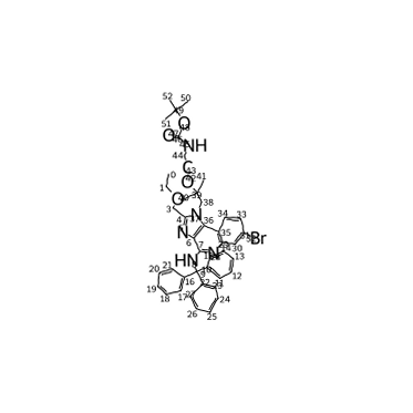 CCOCc1nc2c(NC(c3ccccc3)(c3ccccc3)c3ccccc3)nc3cc(Br)ccc3c2n1CC(C)(C)OCCNC(=O)OC(C)(C)C